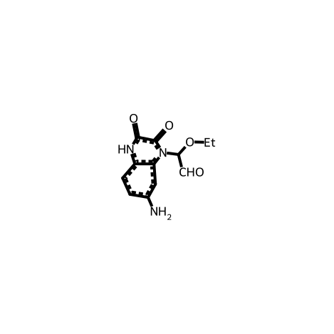 CCOC(C=O)n1c(=O)c(=O)[nH]c2ccc(N)cc21